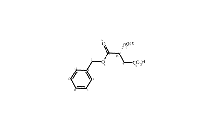 CCCCCCCC[C@H](CC(=O)O)C(=O)OCc1ccccc1